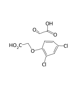 O=C(O)COc1ccc(Cl)cc1Cl.O=CC(=O)O